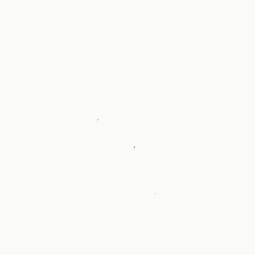 CCCCc1ccc(NCc2ccc(OCC(N)=O)c(C(=O)OC)c2)cc1